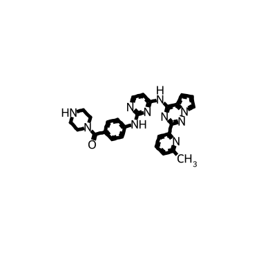 Cc1cccc(-c2nc(Nc3ccnc(Nc4ccc(C(=O)N5CCNCC5)cc4)n3)c3cccn3n2)n1